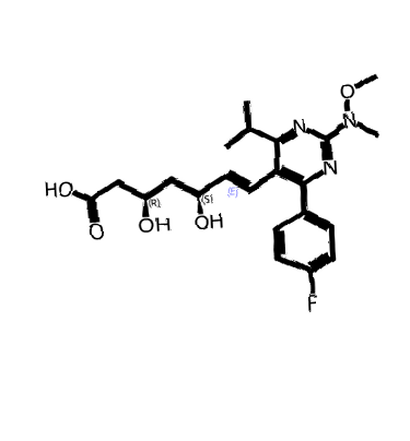 CON(C)c1nc(-c2ccc(F)cc2)c(/C=C/[C@@H](O)C[C@@H](O)CC(=O)O)c(C(C)C)n1